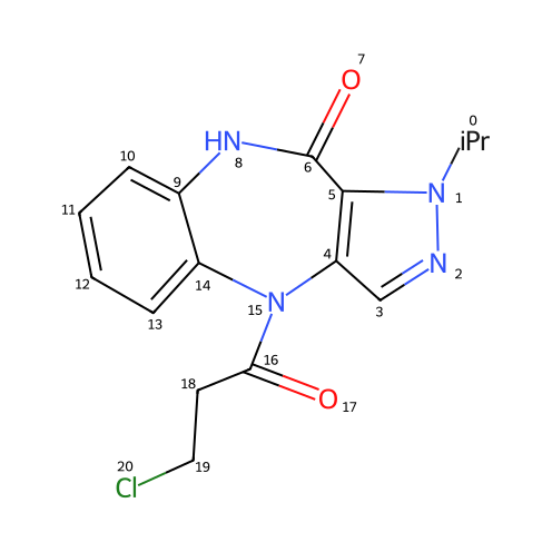 CC(C)n1ncc2c1C(=O)Nc1ccccc1N2C(=O)CCCl